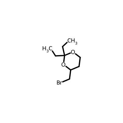 CCC1(CC)OCCC(CBr)O1